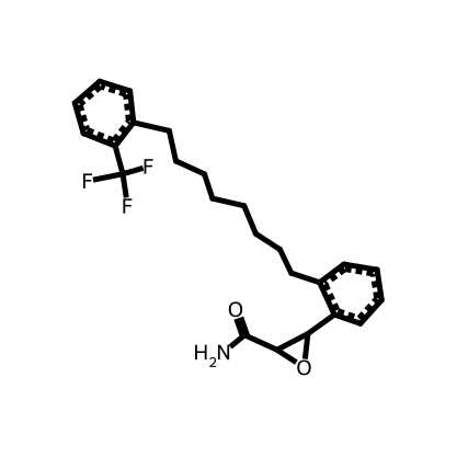 NC(=O)C1OC1c1ccccc1CCCCCCCCc1ccccc1C(F)(F)F